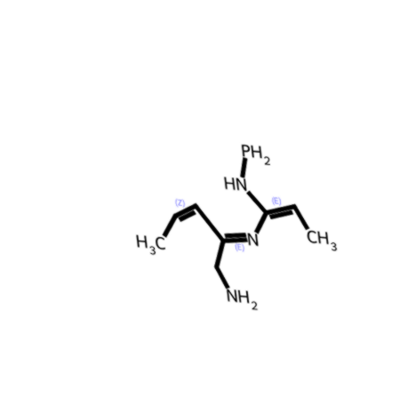 C\C=C/C(CN)=N\C(=C/C)NP